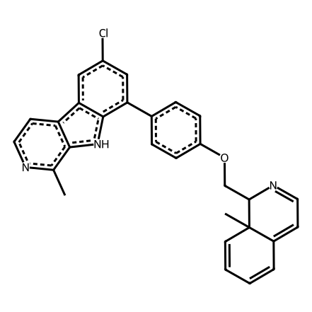 Cc1nccc2c1[nH]c1c(-c3ccc(OCC4N=CC=C5C=CC=CC54C)cc3)cc(Cl)cc12